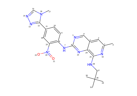 Cc1cc2cnc(Nc3ccc(-c4nncn4C)cc3[N+](=O)[O-])nc2c(NCC(C)(C)C)n1